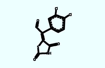 O=C/C(=C1\SC(=O)NC1=O)c1ccc(Cl)c(Cl)c1